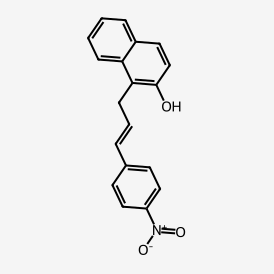 O=[N+]([O-])c1ccc(/C=C/Cc2c(O)ccc3ccccc23)cc1